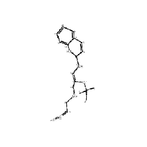 CC(C)(C)OC(=CNC1C=Cc2ccccc2O1)COCC=C=O